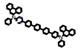 C=C(/C=C\C(=C/C)c1ccc(-c2ccc(-c3ccc(-c4ccc(N(c5ccccc5)c5cc6ccccc6c6ccccc56)cc4)cc3)cc2)cc1)N(c1ccccc1)c1cc2ccccc2c2ccccc12